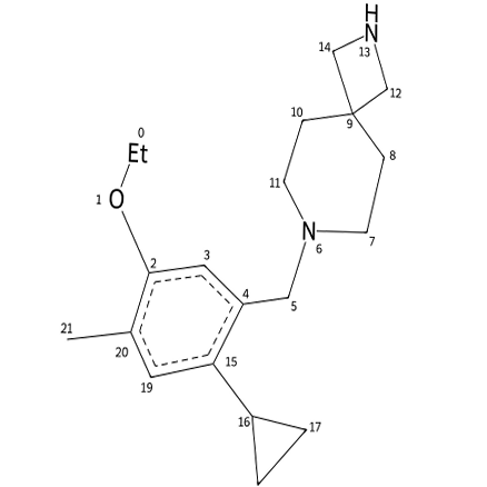 CCOc1cc(CN2CCC3(CC2)CNC3)c(C2CC2)cc1C